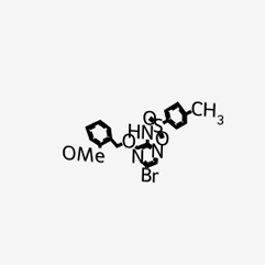 COc1ccccc1COc1nc(Br)cnc1NS(=O)(=O)c1ccc(C)cc1